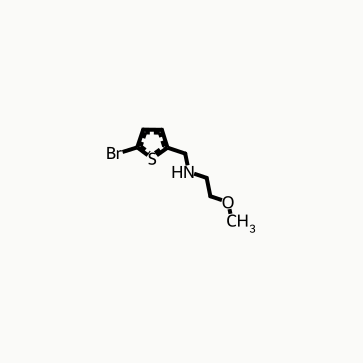 COCCNCc1ccc(Br)s1